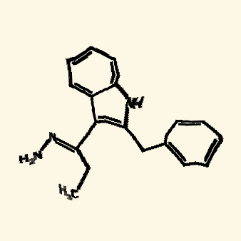 CCC(=NN)c1c(Cc2ccccc2)[nH]c2ccccc12